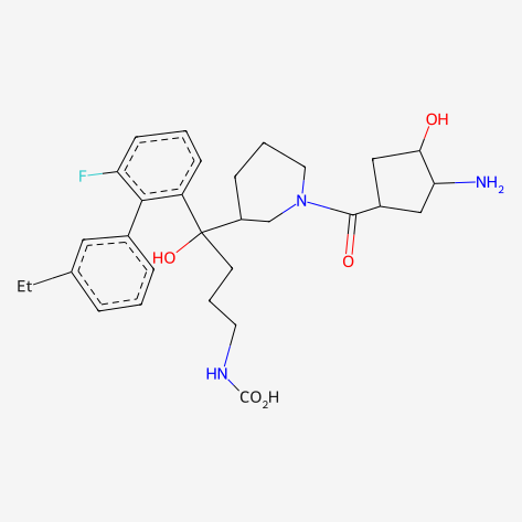 CCc1cccc(-c2c(F)cccc2C(O)(CCCNC(=O)O)C2CCCN(C(=O)C3CC(N)C(O)C3)C2)c1